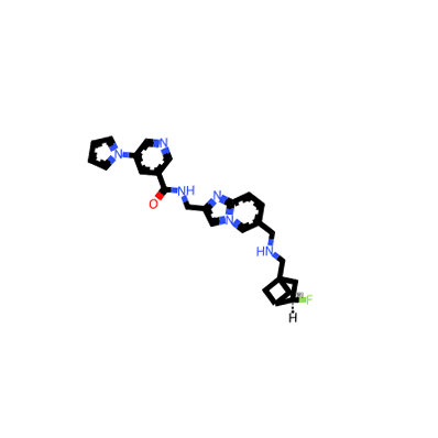 O=C(NCc1cn2cc(CNCC34CC(C3)[C@H](F)C4)ccc2n1)c1cncc(-n2cccc2)c1